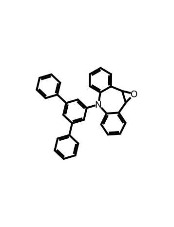 c1ccc(-c2cc(-c3ccccc3)cc(N3c4ccccc4C4OC4c4ccccc43)c2)cc1